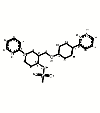 CS(=O)(=O)N[C@H]1CCN(c2ccccn2)CC1COC1CCC(c2cccnn2)CC1